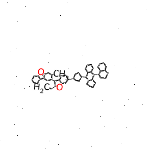 C=Cc1oc2cc(-c3ccc(-c4c5ccccc5c(-c5cccc6ccccc56)c5ccccc45)cc3)ccc2c1-c1cc2c(cc1C)oc1ccccc12